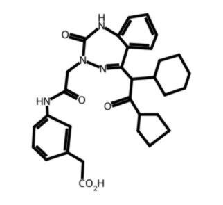 O=C(O)Cc1cccc(NC(=O)CN2N=C(C(C(=O)C3CCCC3)C3CCCCC3)c3ccccc3NC2=O)c1